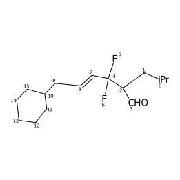 CC(C)CC(C=O)C(F)(F)C=CCC1CCCCC1